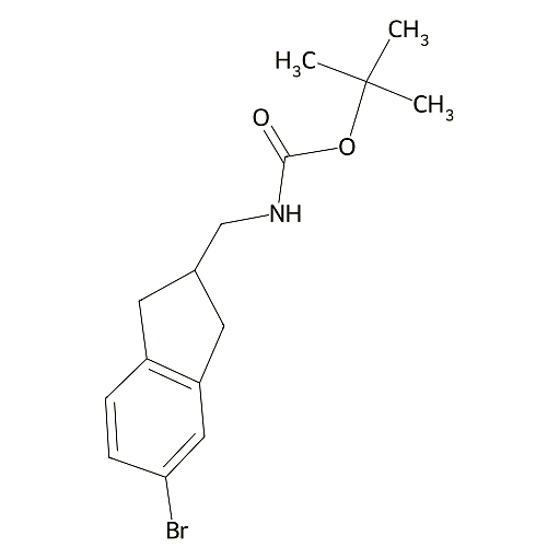 CC(C)(C)OC(=O)NCC1Cc2ccc(Br)cc2C1